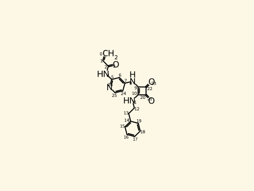 C=CC(=O)Nc1cc(Nc2c(NCCc3ccccc3)c(=O)c2=O)ccn1